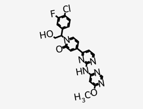 COc1cc(Nc2nccc(-c3ccn(C(CO)c4ccc(Cl)c(F)c4)c(=O)c3)n2)ncn1